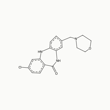 O=C1Nc2cc(CN3CCOCC3)ccc2Nc2cc(Cl)ccc21